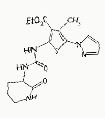 CCOC(=O)c1c(NC(=O)NC2CCCNC2=O)sc(-n2cccn2)c1C